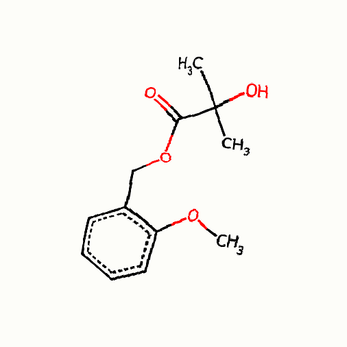 COc1ccccc1COC(=O)C(C)(C)O